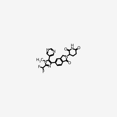 Cn1c(C(F)F)nc(-c2ccc3c(c2)CN(C2CCC(=O)NC2=O)C3=O)c1-c1cncnc1